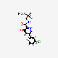 CC(C)(CNC(=O)c1ncc(-c2cccc(Cl)c2)cc1O)C(=O)O